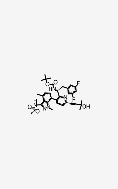 Cc1ccc(-c2ccc(C#CC(C)(C)O)nc2[C@H](Cc2cc(F)cc(F)c2)NC(=O)OC(C)(C)C)c2c1c(NS(C)(=O)=O)nn2C